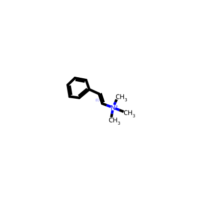 C[N+](C)(C)/C=C/c1ccccc1